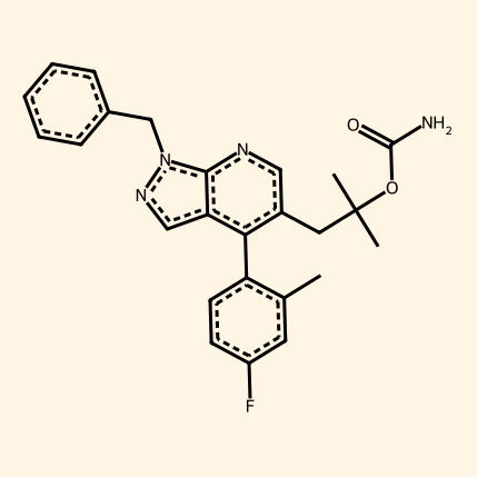 Cc1cc(F)ccc1-c1c(CC(C)(C)OC(N)=O)cnc2c1cnn2Cc1ccccc1